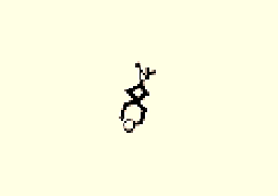 CN(C)C1CC2(CCOCC2)C1